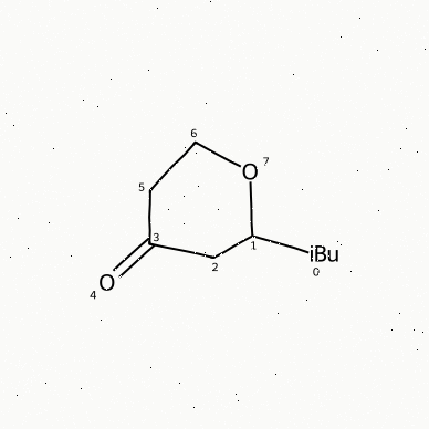 CCC(C)C1CC(=O)CCO1